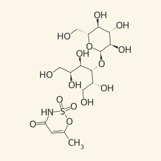 CC1=CC(=O)NS(=O)(=O)O1.OC[C@@H](O)[C@@H](O[C@H]1O[C@H](CO)[C@@H](O)[C@H](O)[C@H]1O)[C@H](O)[C@@H](O)CO